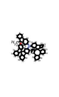 CC1(C)c2ccccc2-c2ccc(N(c3ccc4c(c3)C3(c5ccccc5-c5ccccc5-c5ccccc53)c3ccccc3-4)c3ccc4c(c3)C3(c5ccccc5-c5ccccc53)c3ccccc3-4)cc21